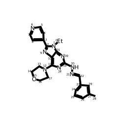 CCn1c(-c2ccncc2)nc2c(N3CCOCC3)nc(N/N=C/c3cccc(C)c3)nc21